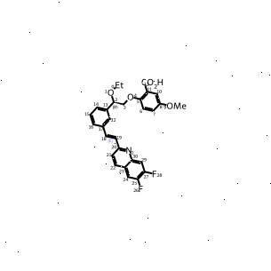 CCO[C@@H](COc1ccc(OC)cc1C(=O)O)c1cccc(/C=C/c2ccc3cc(F)c(F)cc3n2)c1